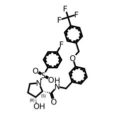 O=C(NCc1cccc(OCc2ccc(C(F)(F)F)cc2)c1)[C@@H]1[C@H](O)CCN1S(=O)(=O)c1ccc(F)cc1